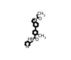 CCC(=O)n1ccc2cc(-c3ccc(C(=O)NCc4cccnc4)c(C)c3)ccc21